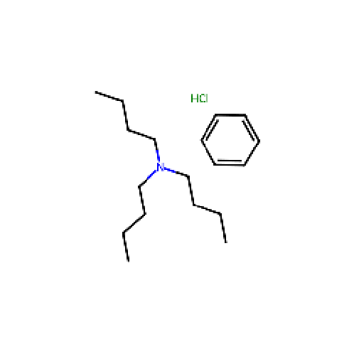 CCCCN(CCCC)CCCC.Cl.c1ccccc1